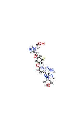 C=Nc1c(/C(N)=N\C)c(-c2ccc(Oc3cc(F)cc(OCc4cncn4CCO)c3)cc2)nn1C1CCOCC1